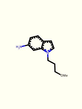 COCCCn1ccc2ccc(N)cc21